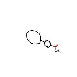 CC(=O)c1ccc(C2CCCCCCCCCCC2)cc1